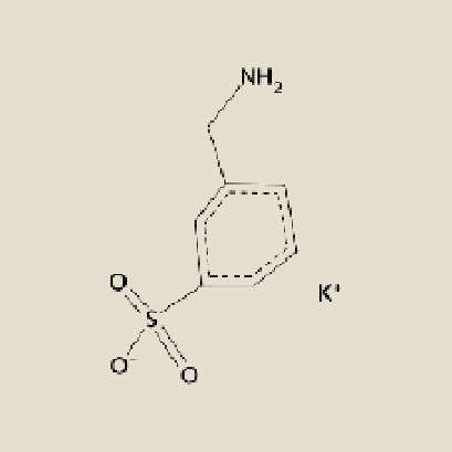 NCc1cccc(S(=O)(=O)[O-])c1.[K+]